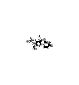 C[C@@]1(F)[C@H](OP(=O)(O)O)[C@@H](CO)O[C@H]1n1ccc(=O)[nH]c1=O